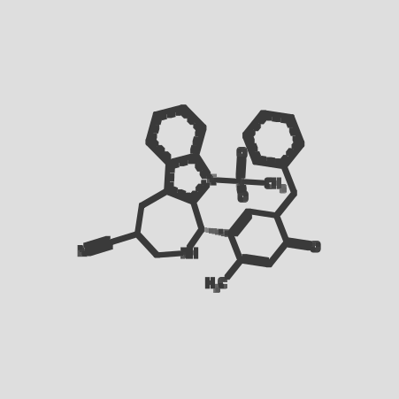 CC1=CC(=O)C(Cc2ccccc2)C=C1[C@@H]1NCC(C#N)Cc2c1n(S(C)(=O)=O)c1ccccc21